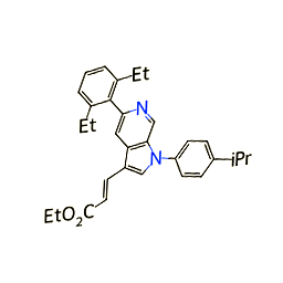 CCOC(=O)C=Cc1cn(-c2ccc(C(C)C)cc2)c2cnc(-c3c(CC)cccc3CC)cc12